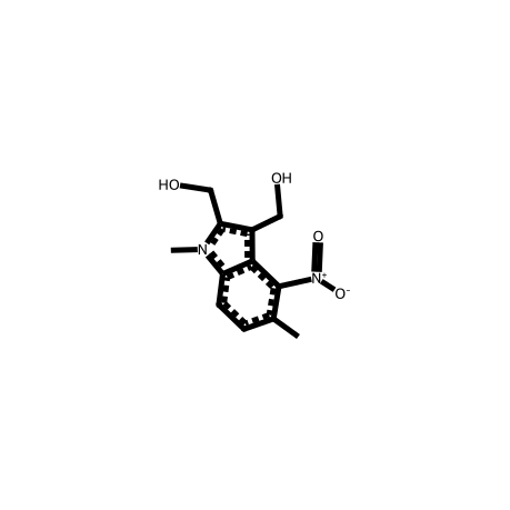 Cc1ccc2c(c(CO)c(CO)n2C)c1[N+](=O)[O-]